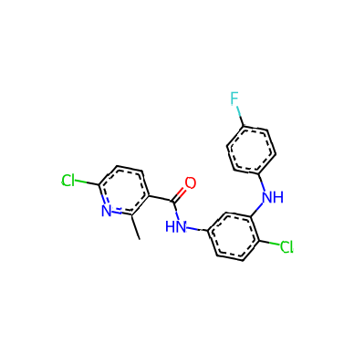 Cc1nc(Cl)ccc1C(=O)Nc1ccc(Cl)c(Nc2ccc(F)cc2)c1